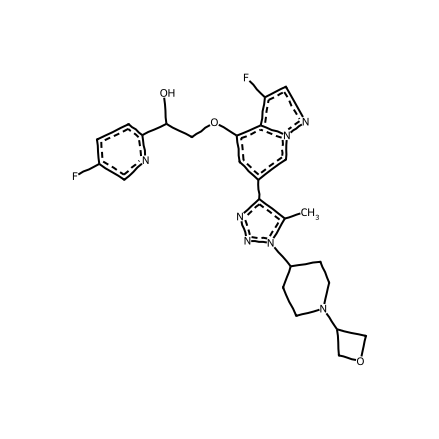 Cc1c(-c2cc(OCC(O)c3ccc(F)cn3)c3c(F)cnn3c2)nnn1C1CCN(C2COC2)CC1